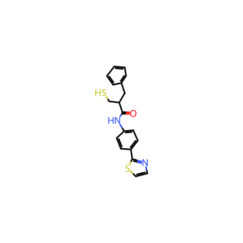 O=C(Nc1ccc(-c2nccs2)cc1)C(CS)Cc1ccccc1